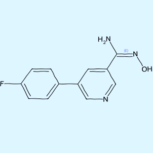 N/C(=N/O)c1cncc(-c2ccc(F)cc2)c1